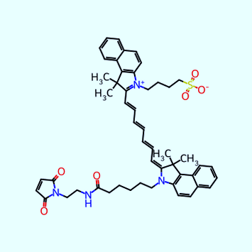 CC1(C)C(/C=C/C=C/C=C/C=C2/N(CCCCCC(=O)NCCN3C(=O)C=CC3=O)c3ccc4ccccc4c3C2(C)C)=[N+](CCCCS(=O)(=O)[O-])c2ccc3ccccc3c21